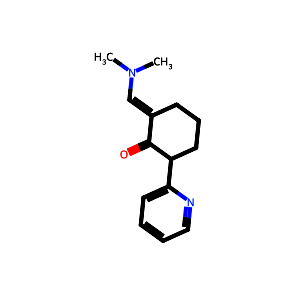 CN(C)C=C1CCCC(c2ccccn2)C1=O